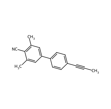 CC#Cc1ccc(-c2cc(C)c(C#N)c(C)c2)cc1